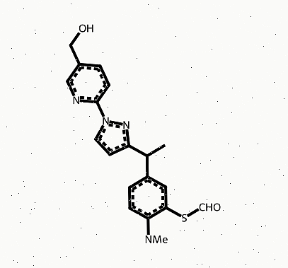 CNc1ccc(C(C)c2ccn(-c3ccc(CO)cn3)n2)cc1SC=O